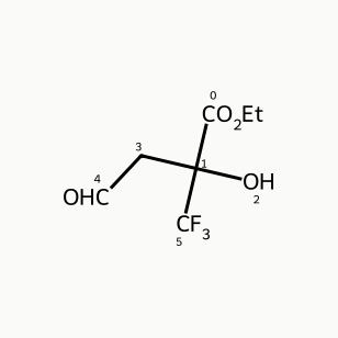 CCOC(=O)C(O)(CC=O)C(F)(F)F